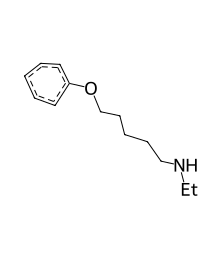 CCNCCCCCOc1ccccc1